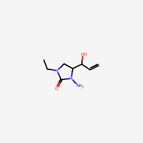 C=CC(O)C1CN(CC)C(=O)N1N